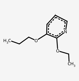 CCCOc1c[c]cnc1OCC